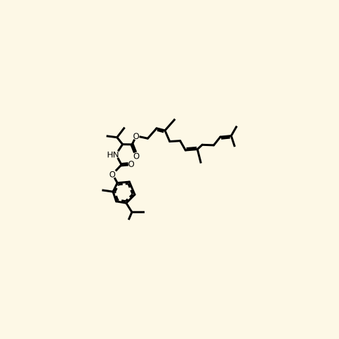 CC(C)=CCCC(C)=CCCC(C)=CCOC(=O)C(NC(=O)Oc1ccc(C(C)C)cc1C)C(C)C